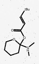 C[SiH](C)C1(OC(=O)C=CC(C)(C)C)CCCCO1